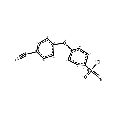 N#Cc1ccc(Oc2ccc(S(=O)(=O)Cl)cc2)cc1